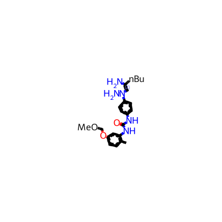 CCCC/C(N)=C/N(N)c1ccc(NC(=O)Nc2cc(OCOC)ccc2C)cc1